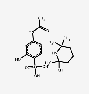 CC(=O)Nc1ccc([As](=O)(O)O)c(O)c1.CC1(C)CCCC(C)(C)N1